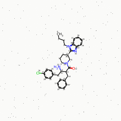 CCCCn1c([C@@H]2CCCN(C(=O)C(Cc3ccccc3)[C@H](N)Cc3ccc(Cl)cc3)C2)nc2ccccc21